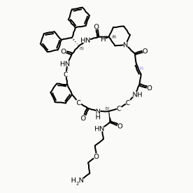 NCCOCCNC(=O)[C@@H]1CCNC(=O)/C=C/C(=O)N2CCC[C@H](C2)C(=O)N[C@@H](C(c2ccccc2)c2ccccc2)C(=O)NCc2ccccc2CC(=O)N1